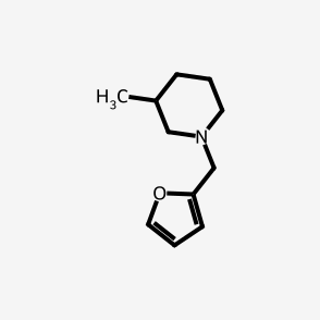 CC1CCCN(Cc2ccco2)C1